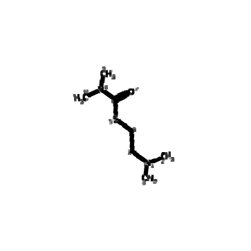 CN(C)CCSC(=O)N(C)C